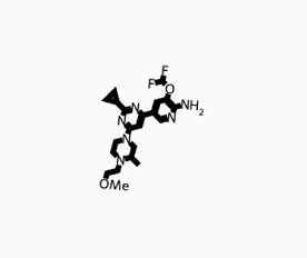 COCCN1CCN(c2cc(-c3cnc(N)c(OC(F)F)c3)nc(C3CC3)n2)CC1C